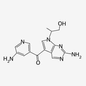 CC(CO)n1cc(C(=O)c2cncc(N)c2)c2cnc(N)nc21